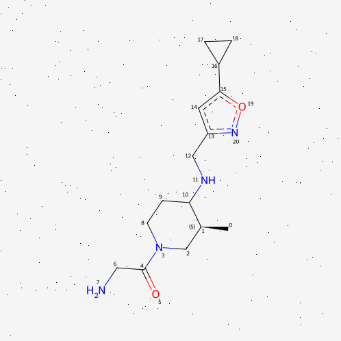 C[C@H]1CN(C(=O)CN)CCC1NCc1cc(C2CC2)on1